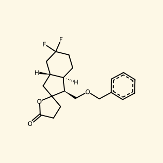 O=C1CCC2(C[C@@H]3CC(F)(F)CC[C@H]3[C@H]2COCc2ccccc2)O1